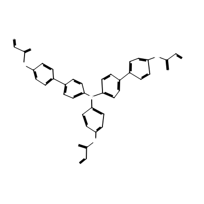 C=CC(=O)Oc1ccc(-c2ccc(N(c3ccc(OC(=O)C=C)cc3)c3ccc(-c4ccc(OC(=O)C=C)cc4)cc3)cc2)cc1